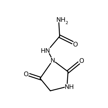 NC(=O)NN1C(=O)CNC1=O